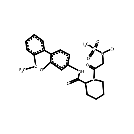 CCN(CC(=O)N1CCCCC1C(=O)Nc1ccc(-c2ccccc2OC(F)(F)F)c(Cl)c1)S(C)(=O)=O